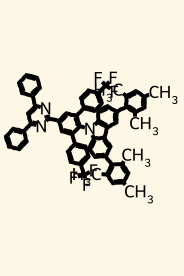 Cc1cc(C)c(-c2ccc3c(c2)c2cc(-c4c(C)cc(C)cc4C)ccc2n3-c2c(-c3ccc(C(F)(F)F)cc3)cc(-c3nc(-c4ccccc4)cc(-c4ccccc4)n3)cc2-c2ccc(C(F)(F)F)cc2)c(C)c1